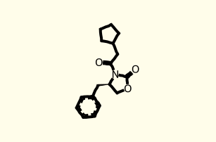 O=C(CC1CCCC1)N1C(=O)OC[C@H]1Cc1ccccc1